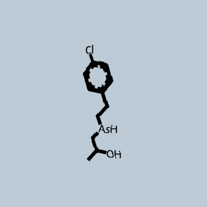 CC(O)C[AsH]CCc1ccc(Cl)cc1